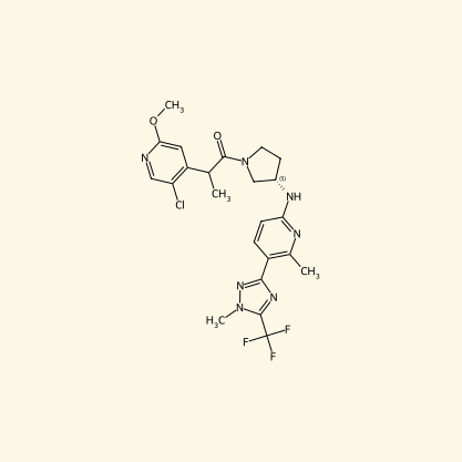 COc1cc(C(C)C(=O)N2CC[C@H](Nc3ccc(-c4nc(C(F)(F)F)n(C)n4)c(C)n3)C2)c(Cl)cn1